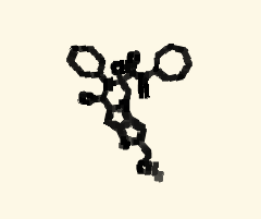 CCc1cc2c(cc3n2CC(C)(C(=O)NC2CCCCCC2)N(C2CCCCC2)C3=O)s1